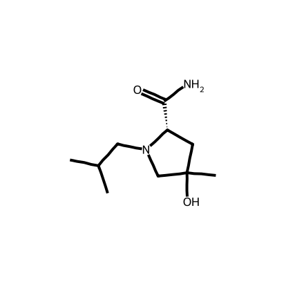 C[C](C)CN1CC(C)(O)C[C@H]1C(N)=O